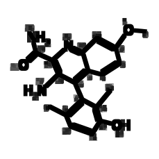 COc1ccc2c(-c3c(C)ccc(O)c3C)c(N)c(C(N)=O)nc2c1